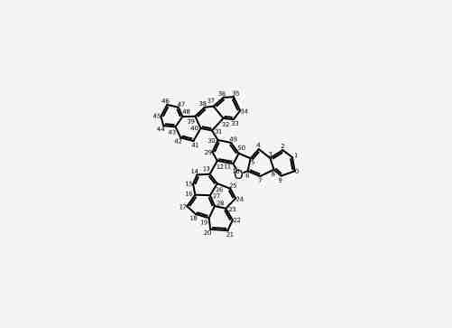 c1ccc2cc3c(cc2c1)oc1c(-c2ccc4ccc5cccc6ccc2c4c56)cc(-c2c4ccccc4cc4c2ccc2ccccc24)cc13